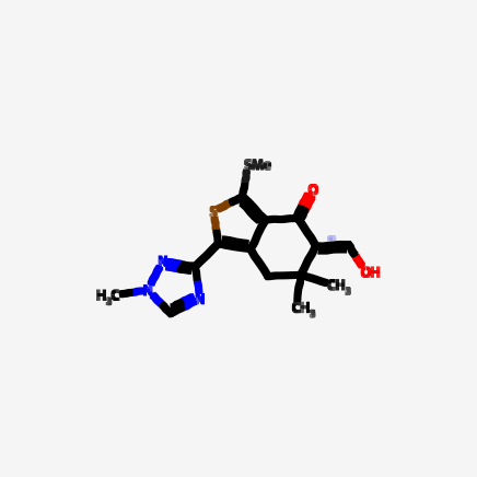 CSc1sc(-c2ncn(C)n2)c2c1C(=O)/C(=C/O)C(C)(C)C2